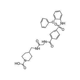 O=C(CNC(=O)c1ccc(S(=O)(=O)Nc2ccccc2Oc2ccccc2)cc1)NCC1CCN(C(=O)O)CC1